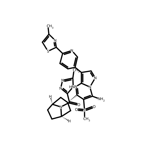 Cc1csc(-c2ccc(-c3cnn4c(N)c(S(C)(=O)=O)c([C@@H]5C[C@H]6CC[C@@H](C5)N6C(=O)c5nnc(C)[nH]5)nc34)cn2)n1